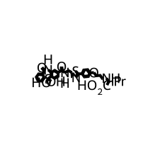 CC(C)[C@H](NCCCOc1ccc(-c2ncc(CNC(=O)c3ccc4c(c3)NC(=O)c3ccccc3S4(O)O)s2)cc1)C(=O)O